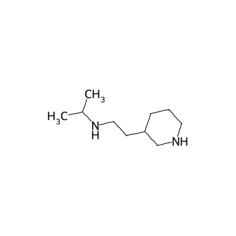 CC(C)NCCC1CCCNC1